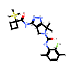 Cc1ccc(C)c(NC(=O)N2Cc3c(NC(=O)C4(S(C)(C)C)CCC4)n[nH]c3C2(C)C)c1F